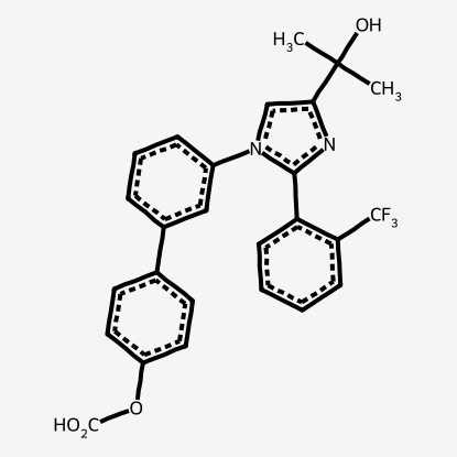 CC(C)(O)c1cn(-c2cccc(-c3ccc(OC(=O)O)cc3)c2)c(-c2ccccc2C(F)(F)F)n1